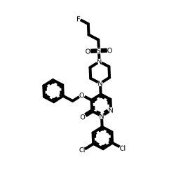 O=c1c(OCc2ccccc2)c(N2CCN(S(=O)(=O)CCCF)CC2)cnn1-c1cc(Cl)cc(Cl)c1